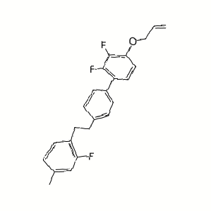 C=CCOc1ccc(-c2ccc(CCc3ccc(C)cc3F)cc2)c(F)c1F